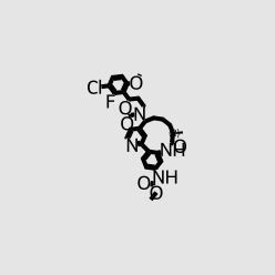 COC(=O)Nc1ccc2c(c1)NC(=O)[C@H](C)CCCC(N1CCC(c3c(OC)ccc(Cl)c3F)OC1=O)c1ccnc-2c1